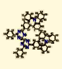 C1=CC(c2cccc(-c3nc(-c4ccccc4)nc(-c4nc(-c5ccccc5)nc(-c5cccc(-c6cccc7c8ccccc8n(-c8ccccc8)c67)c5)n4)n3)c2)=C2C(C1)c1ccccc1N2c1ccccc1